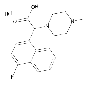 CN1CCN(C(C(=O)O)c2ccc(F)c3ccccc23)CC1.Cl